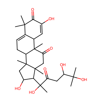 CC1(C)C(=O)C(O)=CC2C1=CCC1C2(C)C(=O)CC2(C)C(C(C)(O)C(=O)CC(O)C(C)(C)O)C(O)CC12C